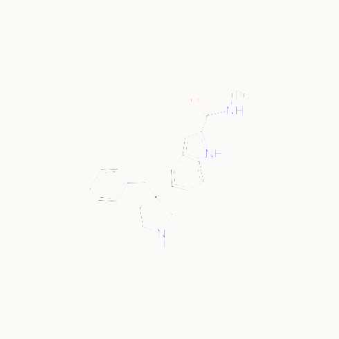 CC(C)(C)NC(=O)c1cc2cc(C3(Cc4ccccc4)CCNC3)ccc2[nH]1